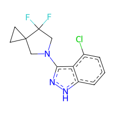 FC1(F)CN(c2n[nH]c3cccc(Cl)c23)CC12CC2